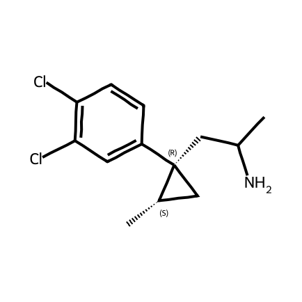 CC(N)C[C@]1(c2ccc(Cl)c(Cl)c2)C[C@@H]1C